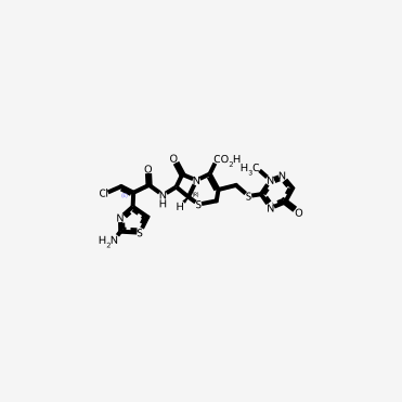 Cn1ncc(=O)nc1SCC1=C(C(=O)O)N2C(=O)C(NC(=O)/C(=C/Cl)c3csc(N)n3)[C@H]2SC1